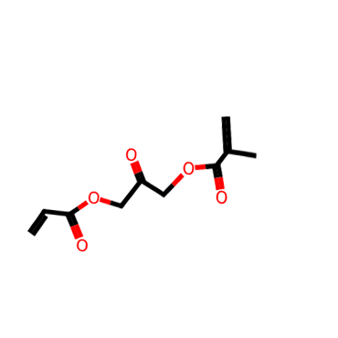 C=CC(=O)OCC(=O)COC(=O)C(=C)C